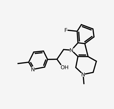 Cc1ccc(C(O)Cn2c3c(c4cccc(F)c42)CCN(C)C3)cn1